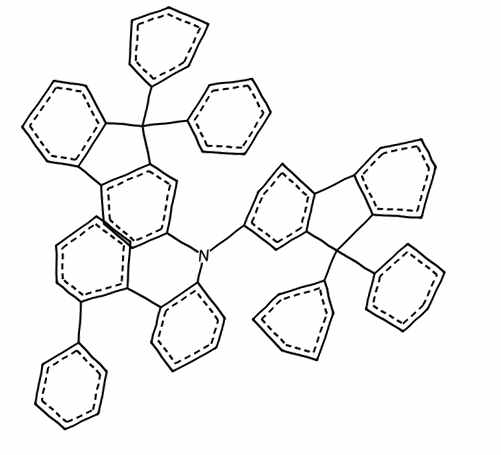 c1ccc(-c2ccccc2-c2ccccc2N(c2ccc3c(c2)C(c2ccccc2)(c2ccccc2)c2ccccc2-3)c2ccc3c(c2)C(c2ccccc2)(c2ccccc2)c2ccccc2-3)cc1